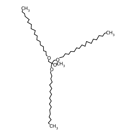 CCCCCCCCCCCCCCCCCCOCC(COCCCCCCCCCCCCCCCCCC)(COCCCCCCCCCCCCCCCCCC)OC